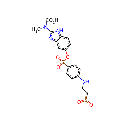 CN(C(=O)O)c1nc2cc(OS(=O)(=O)c3ccc(NCC=S(=O)=O)cc3)ccc2[nH]1